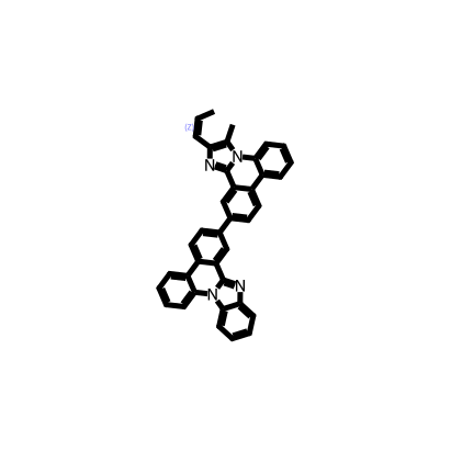 C/C=C\c1nc2c3cc(-c4ccc5c6ccccc6n6c7ccccc7nc6c5c4)ccc3c3ccccc3n2c1C